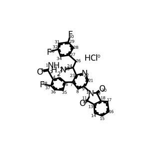 Cl.NC(=O)c1cc(-c2cc(N3C(=O)c4ccccc4C3=O)cnc2C(N)Cc2cc(F)cc(F)c2)ccc1F